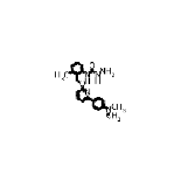 Cc1cccc(NC(=O)NN)c1COc1cccc(-c2ccc(N(C)C)cc2)n1